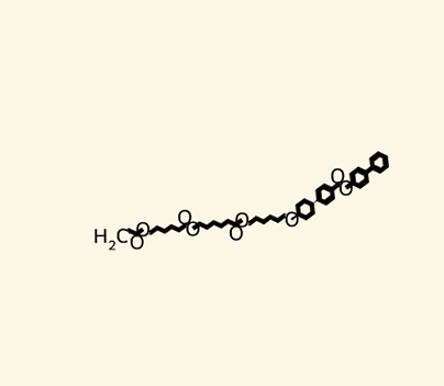 C=CC(=O)OCCCCCC(=O)OCCCCCC(=O)OCCCCCCO[C@H]1CC[C@H](c2ccc(C(=O)Oc3ccc(-c4ccccc4)cc3)cc2)CC1